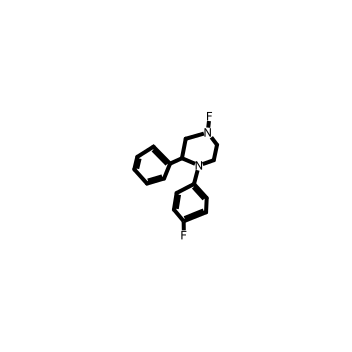 Fc1ccc(N2CCN(F)CC2c2ccccc2)cc1